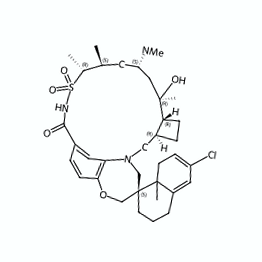 CN[C@H]1C[C@H](C)[C@@H](C)S(=O)(=O)NC(=O)c2ccc3c(c2)N(C[C@@H]2CC[C@H]2[C@](C)(O)C1)C[C@@]1(CCCC2=CC(Cl)=CCC21C)CO3